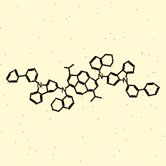 CC(C)c1cc(N(c2ccc3c(c2)c2ccccc2n3-c2cccc(-c3ccccc3)c2)c2cccc3c2CCCC3)c2ccc3c(C(C)C)cc(N(c4ccc5c(c4)c4ccccc4n5-c4cccc(-c5ccccc5)c4)c4cccc5c4CCCC5)c4ccc1c2c34